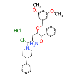 COc1cc(COC(CC(N)C(Cl)N2CCC(c3ccccc3)CC2)C(=O)c2ccccc2)cc(OC)c1.Cl